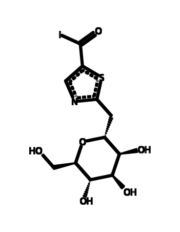 O=C(I)c1cnc(C[C@H]2O[C@H](CO)[C@@H](O)[C@H](O)[C@@H]2O)s1